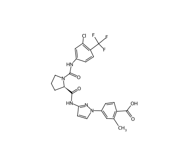 Cc1cc(-n2ccc(NC(=O)[C@H]3CCCN3C(=O)Nc3ccc(C(F)(F)F)c(Cl)c3)n2)ccc1C(=O)O